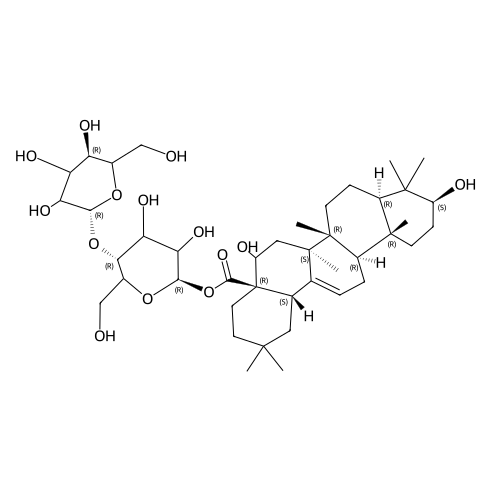 CC1(C)CC[C@]2(C(=O)O[C@H]3OC(CO)[C@H](O[C@H]4OC(CO)[C@H](O)C(O)C4O)C(O)C3O)C(O)C[C@]3(C)C(=CC[C@@H]4[C@@]5(C)CC[C@H](O)C(C)(C)[C@@H]5CC[C@]43C)[C@@H]2C1